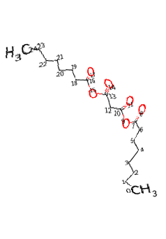 CCCCCCCC(=O)OC(=O)CC(=O)OC(=O)CCCCCCC